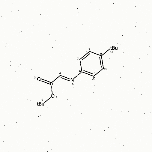 CC(C)(C)OC(=O)C=Nc1ccc(C(C)(C)C)cc1